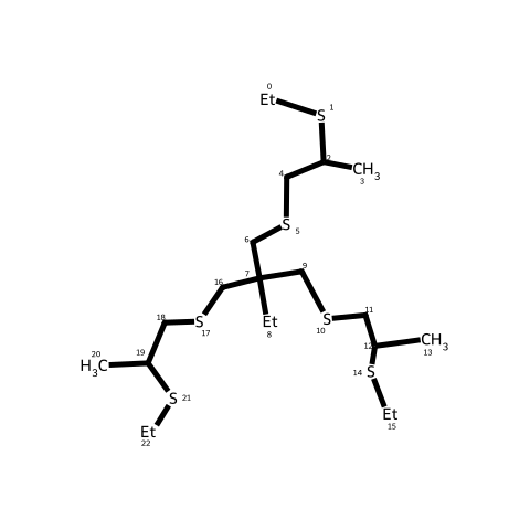 CCSC(C)CSCC(CC)(CSCC(C)SCC)CSCC(C)SCC